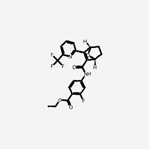 CCOC(=O)c1ccc(NC(=O)C2=C(c3cccc(C(F)(F)F)n3)[C@@H]3CC[C@H]2O3)cc1F